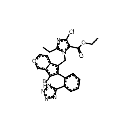 CCOC(=O)c1c(Cl)nc(CC)n1Cc1c2ccocc-2c(Br)c1-c1ccccc1-c1nnn[nH]1